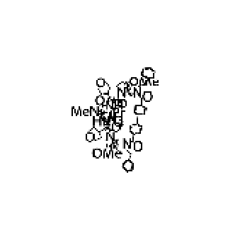 CN[C@@H](C)C(=O)N[C@H](C(=O)N1CC[C@H](OC)[C@H]1CN(CCc1ccccc1)C(=O)c1ccc(-c2ccc(C(=O)N(CCc3ccccc3)C[C@@H]3[C@@H](OC)CCN3C(=O)[C@@H](NC(=O)C(C)C)C3CCOCC3)cc2)cc1)C1CCOCC1